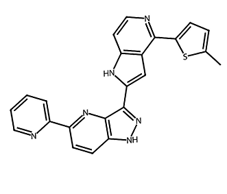 Cc1ccc(-c2nccc3[nH]c(-c4n[nH]c5ccc(-c6ccccn6)nc45)cc23)s1